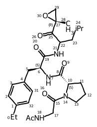 CCc1ccc(C[C@H](NC(=O)[C@@H]2CCCN2C(=O)CNC(C)=O)C(=O)NC(CC(C)C)C(=O)[C@@]2(C)CO2)cc1